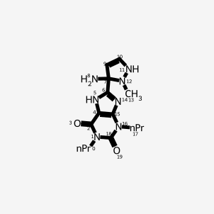 CCCn1c(=O)c2[nH]c(C3(N)C=CNN3C)nc2n(CCC)c1=O